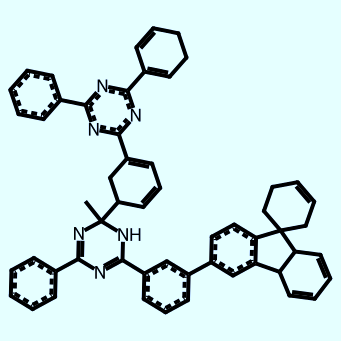 CC1(C2C=CC=C(c3nc(C4=CCCC=C4)nc(-c4ccccc4)n3)C2)N=C(c2ccccc2)N=C(c2cccc(-c3ccc4c(c3)C3C=CC=CC3C43CC=CCC3)c2)N1